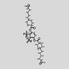 O=C(Oc1ccc(OC(=O)C2CCC(CCCCC3CO3)CC2)c(C(F)(F)F)c1C(F)(F)F)C1CCC(CCCCC2CO2)CC1